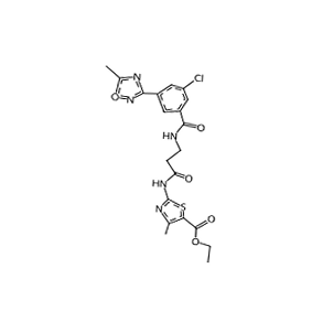 CCOC(=O)c1sc(NC(=O)CCNC(=O)c2cc(Cl)cc(-c3noc(C)n3)c2)nc1C